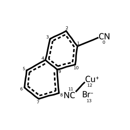 N#Cc1ccc2ccccc2c1.N#[C][Cu+].[Br-]